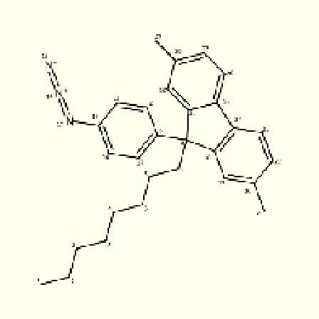 CCCCCCCCC1(c2ccc(N=[N+]=[N-])cc2)c2cc(C)ccc2-c2ccc(C)cc21